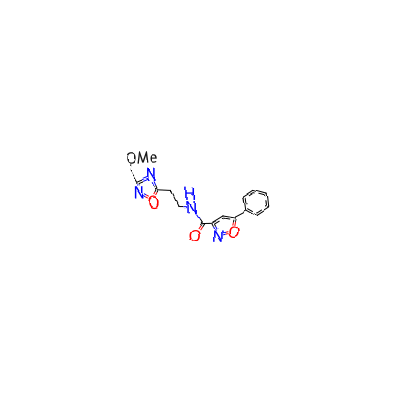 COCc1noc(CCNC(=O)c2cc(-c3ccccc3)on2)n1